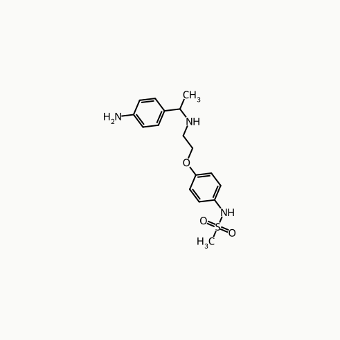 CC(NCCOc1ccc(NS(C)(=O)=O)cc1)c1ccc(N)cc1